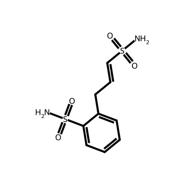 NS(=O)(=O)C=CCc1ccccc1S(N)(=O)=O